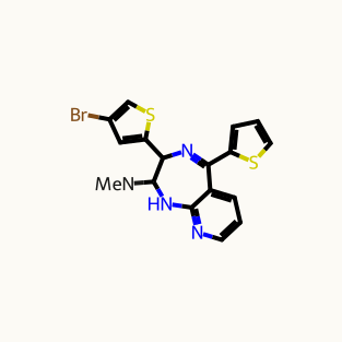 CNC1Nc2ncccc2C(c2cccs2)=NC1c1cc(Br)cs1